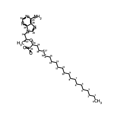 CCCCCCCCCCCCCCCCSSCCC(OC(C)Cn1cnc2c(N)ncnc21)P(=O)=O